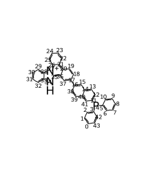 c1ccc(P(c2ccccc2)c2ccc3cc(-c4ccc5c6ccccc6[n+]6c7ccccc7[nH]c6c5c4)ccc3c2)cc1